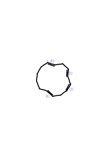 [C]1=C/C/C=C/C=C\C/C=C/CCCC/1